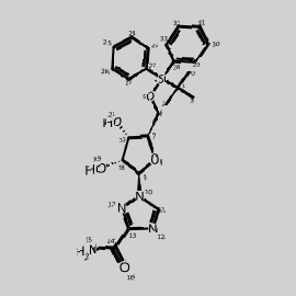 CC(C)(C)[Si](OC[C@H]1O[C@@H](n2cnc(C(N)=O)n2)[C@H](O)[C@@H]1O)(c1ccccc1)c1ccccc1